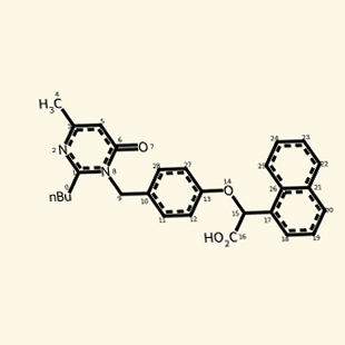 CCCCc1nc(C)cc(=O)n1Cc1ccc(OC(C(=O)O)c2cccc3ccccc23)cc1